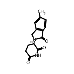 Cc1ccc2c(c1)CN([C@@H]1CCC(=O)NC1=O)C2=O